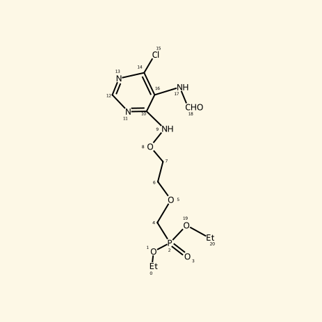 CCOP(=O)(COCCONc1ncnc(Cl)c1NC=O)OCC